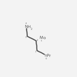 CCCCCCN.[Mo]